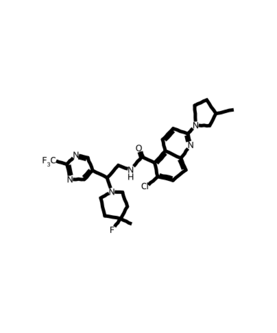 CC1CCN(c2ccc3c(C(=O)NCC(c4cnc(C(F)(F)F)nc4)N4CCC(C)(F)CC4)c(Cl)ccc3n2)C1